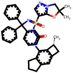 C[C@@H]1Cc2cc3c(c(NC(=O)NS(=O)(=NC(c4ccccc4)(c4ccccc4)c4ccccc4)c4cnn5c4OC(C)(C)C5)c21)CCC3